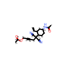 C=CC1C[C@@H](NC(C)=O)CCC1C(C#N)(C#N)CC#CCOC(C)=O